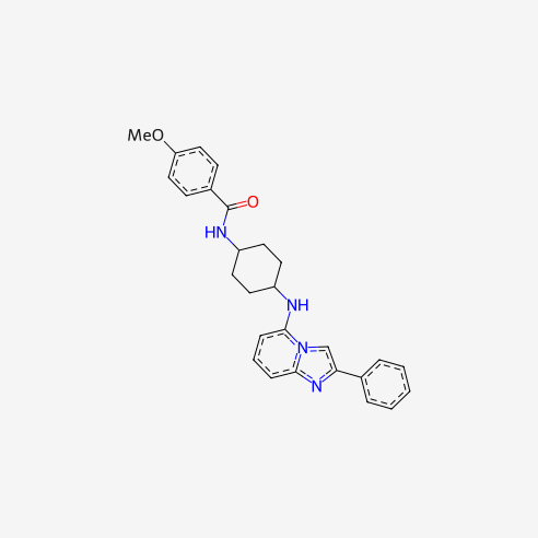 COc1ccc(C(=O)NC2CCC(Nc3cccc4nc(-c5ccccc5)cn34)CC2)cc1